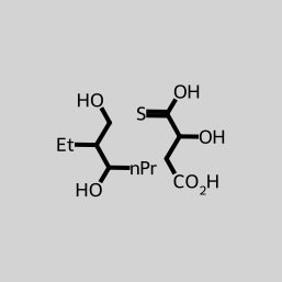 CCCC(O)C(CC)CO.O=C(O)CC(O)C(O)=S